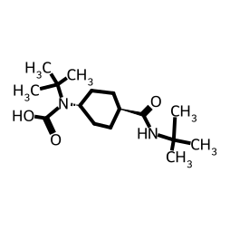 CC(C)(C)NC(=O)[C@H]1CC[C@H](N(C(=O)O)C(C)(C)C)CC1